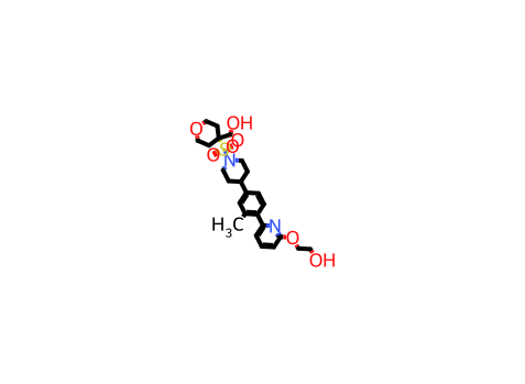 Cc1cc(C2CCN(S(=O)(=O)C3(C(=O)O)CCOCC3)CC2)ccc1-c1cccc(OCCO)n1